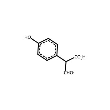 O=[C]C(C(=O)O)c1ccc(O)cc1